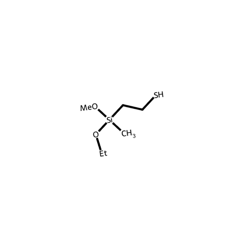 CCO[Si](C)(CCS)OC